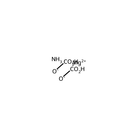 N.O=C([O-])O.O=C([O-])O.[Mg+2]